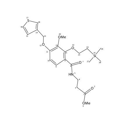 COC(=O)CCNC(=O)c1ccc(OCc2ccsc2)c(OC)c1OCC[Si](C)(C)C